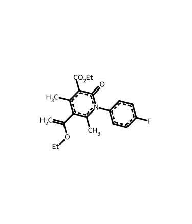 C=C(OCC)c1c(C)c(C(=O)OCC)c(=O)n(-c2ccc(F)cc2)c1C